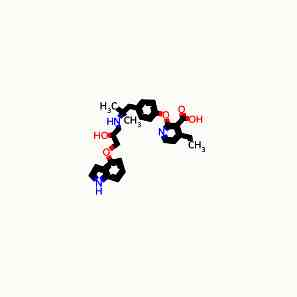 CCc1ccnc(Oc2ccc(CC(C)(C)NCC(O)COc3cccc4[nH]ccc34)cc2)c1C(=O)O